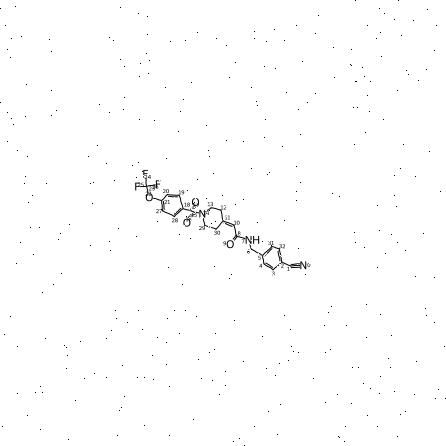 N#Cc1ccc(CNC(=O)C=C2CCN(S(=O)(=O)c3ccc(OC(F)(F)F)cc3)CC2)cc1